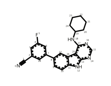 N#Cc1cc(F)cc(-c2ccc3[nH]c4ncnc(NC5CCCCC5)c4c3c2)c1